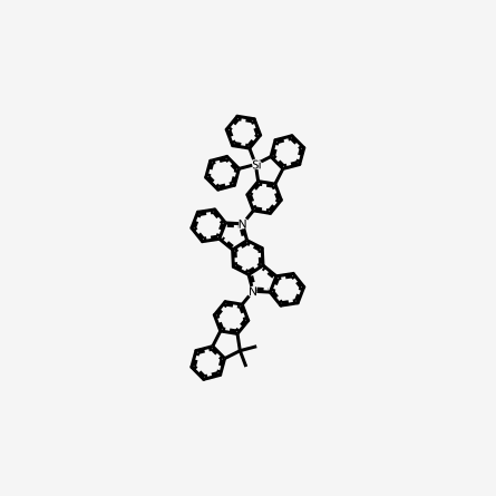 CC1(C)c2ccccc2-c2ccc(-n3c4ccccc4c4cc5c(cc43)c3ccccc3n5-c3ccc4c(c3)[Si](c3ccccc3)(c3ccccc3)c3ccccc3-4)cc21